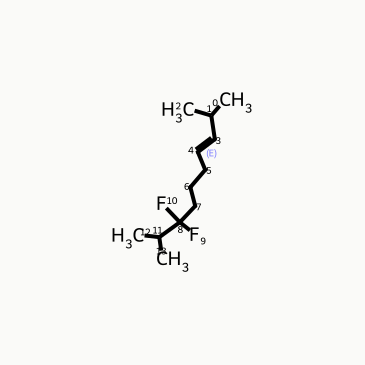 CC(C)/C=C/CCCC(F)(F)C(C)C